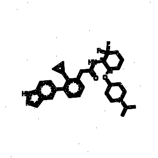 CC(C)N1CCC(O[C@H]2CCCC(F)(F)[C@@H]2NC(=O)Cc2cccc(-c3ccc4[nH]ncc4c3)c2C2CC2)CC1